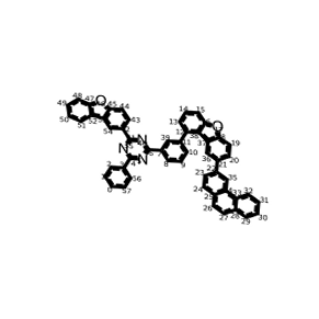 c1ccc(-c2nc(-c3cccc(-c4cccc5oc6ccc(-c7ccc8ccc9ccccc9c8c7)cc6c45)c3)nc(-c3ccc4oc5ccccc5c4c3)n2)cc1